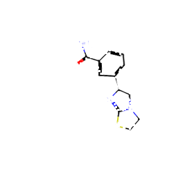 NC(=O)c1cccc([C@H]2CN3CCSC3=N2)c1